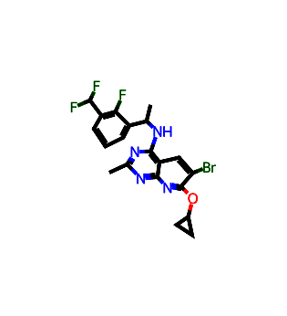 Cc1nc(NC(C)c2cccc(C(F)F)c2F)c2cc(Br)c(OC3CC3)nc2n1